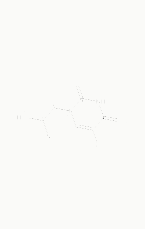 Cc1cn(CC(C)N)c(=O)[nH]c1=O